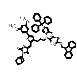 COc1cc(OC)cc(-c2cc(CCCOC(=O)[C@H](Cc3cn(C(c4ccccc4)(c4ccccc4)c4ccccc4)cn3)NC(=O)OCC3c4ccccc4-c4ccccc43)c(/C=C3\SC(=S)N(C4CC5CCC4C5)C3=O)o2)c1